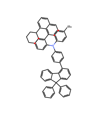 CC(C)(C)c1ccc(N(c2ccc(-c3cccc4c3-c3ccccc3C4(c3ccccc3)c3ccccc3)cc2)c2ccccc2-c2cccc3cccc(C4CCCCC4)c23)cc1